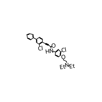 CCN(CC)CCOc1ccc(NC(=O)C#Cc2ccc(-c3ccccc3)cc2Cl)cc1Cl